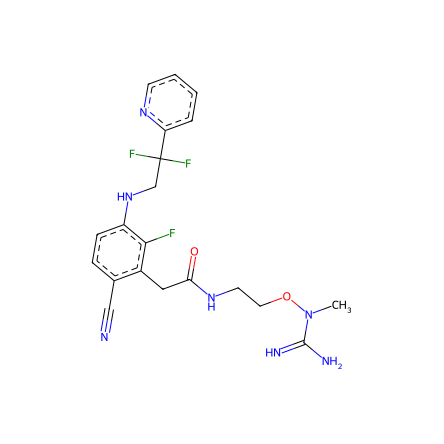 CN(OCCNC(=O)Cc1c(C#N)ccc(NCC(F)(F)c2ccccn2)c1F)C(=N)N